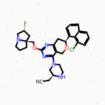 N#CC[C@H]1CN(c2nc(OC[C@@]34CCCN3C[C@H](F)C4)nc3c2CO[C@H](c2cccc4cccc(Cl)c24)C3)CCN1